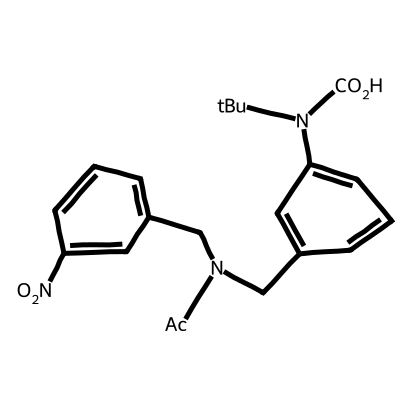 CC(=O)N(Cc1cccc(N(C(=O)O)C(C)(C)C)c1)Cc1cccc([N+](=O)[O-])c1